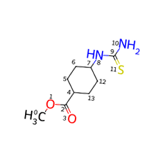 COC(=O)C1CCC(NC(N)=S)CC1